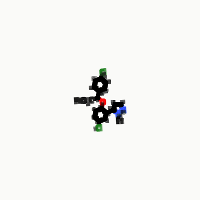 CCOC(=O)C(Oc1ccc(Cl)cc1-c1ccnn1CC)c1ccc(Cl)cc1